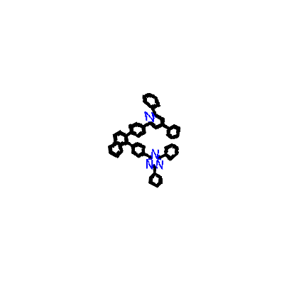 c1ccc(-c2cc(-c3ccccc3)nc(-c3ccc(-c4ccc5ccccc5c4-c4ccc(-c5nc(-c6ccccc6)nc(-c6ccccc6)n5)cc4)cc3)c2)cc1